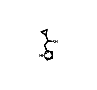 SC(Cc1ccc[nH]1)C1CC1